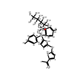 CC(=O)c1ccc(Sc2ccc(S(OS(=O)(=O)C(F)(F)C(F)(F)C(F)(F)C(F)(F)F)(c3ccc(C)cc3)c3ccc(C)cc3)s2)s1